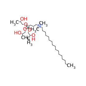 CCCCCCCCCCCCCCCCC[N+](C)(C)CCC[Si](OCC(C)O)(OCC(C)O)OCC(C)O